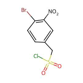 O=[N+]([O-])c1cc(CS(=O)(=O)Cl)ccc1Br